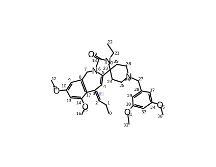 CC/C=C1\C=C2N(Cc3cc(OC)cc(OC)c31)C(=O)N(CC)C21CCN(Cc2cc(OC)cc(OC)c2)CC1